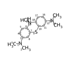 CN(C)c1ccc2c(c1)Sc1cc(N(C)C)ccc1N2.Cl